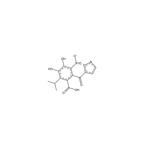 CC(C)c1c(O)c(O)c([N+](=O)[O-])c(C(=O)c2ccno2)c1C(=O)O